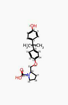 CC(C)(c1ccc(O)cc1)c1ccc(OCC2CCCN2C(=O)O)cc1